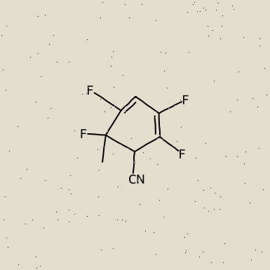 CC1(F)C(F)=CC(F)=C(F)C1C#N